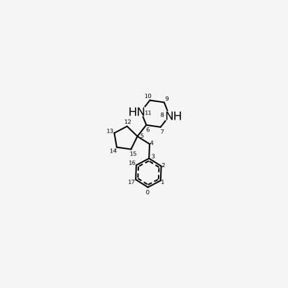 c1ccc(CC2(C3CNCCN3)CCCC2)cc1